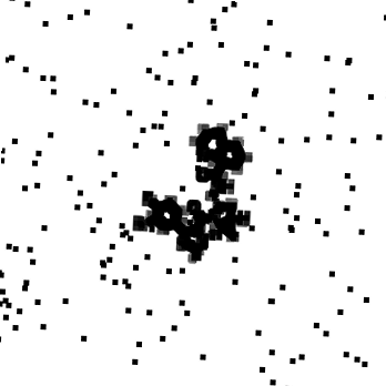 Cc1nc(C(=O)N2[C@H](CNC(=O)c3cccc4cccnc34)C[C@@H]3C[C@@H]32)c(-c2ccc(F)c(Br)c2)s1